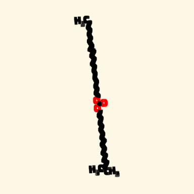 CCCCCCCCC=CCCCCCCCCCCCCOC(=O)OCCCCCCCCCCCCCCCC(C)C